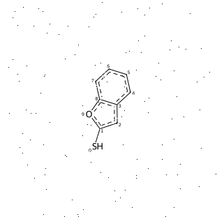 Sc1cc2ccccc2o1